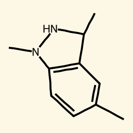 Cc1ccc2c(c1)C(C)NN2C